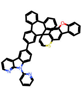 c1ccc(-n2c3ccc(-c4ccc5c(c4)C4(c6ccccc6Sc6cc7c(cc64)oc4ccccc47)c4ccccc4-c4ccccc4-5)cc3c3cccnc32)nc1